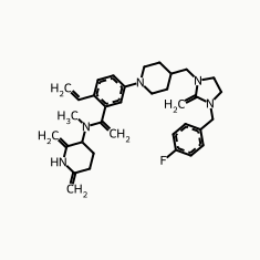 C=Cc1ccc(N2CCC(CN3CCN(Cc4ccc(F)cc4)C3=C)CC2)cc1C(=C)N(C)C1CCC(=C)NC1=C